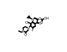 CCN1CCN(c2c(F)cc3c(=O)c(OC(=O)O)cn(C4CC4)c3c2Cl)CC1=O